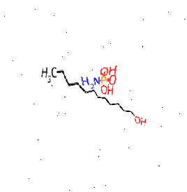 CCCCCCCCCCCCO.NP(=O)(O)O